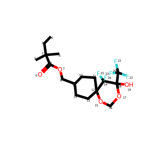 CCC(C)(C)C(=O)OCC1CCC2(CC1)OCOC(O)(C(F)(F)F)C2(F)F